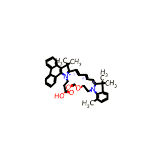 Cc1cccc2c1N(CCOC=O)\C(=C/C=C/C=C/C1=[N+](CCC(=O)O)c3c(c4ccccc4c4ccccc34)C1(C)C)C2(C)C